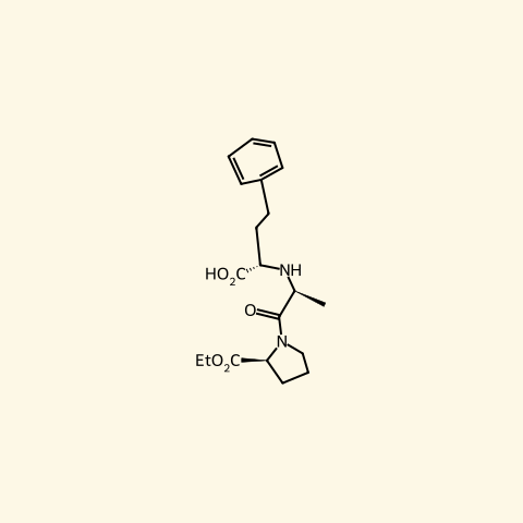 CCOC(=O)[C@@H]1CCCN1C(=O)[C@H](C)N[C@@H](CCc1ccccc1)C(=O)O